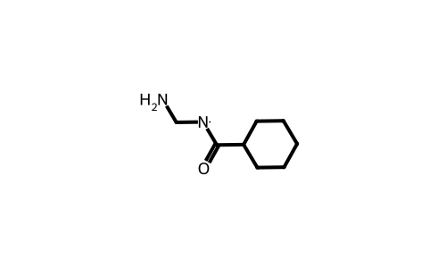 NC[N]C(=O)C1CCCCC1